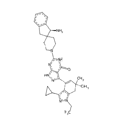 CC1(C)C=C(c2n[nH]c3nc(N4CCC5(CC4)Cc4ccccc4[C@H]5N)[nH]c(=O)c23)c2c(C3CC3)nn(CC(F)(F)F)c2C1